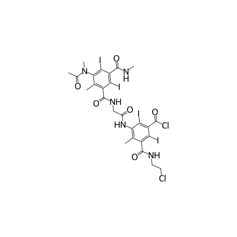 CNC(=O)c1c(I)c(C(=O)NCC(=O)Nc2c(C)c(C(=O)NCCCl)c(I)c(C(=O)Cl)c2I)c(C)c(N(C)C(C)=O)c1I